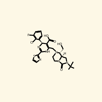 CC(C)(C)N1C[C@@H]2[C@@H](CO)N(CC3=C(C(=O)O)[C@H](c4cccc(F)c4Cl)N=C(c4nccs4)N3)CCN2C1=O